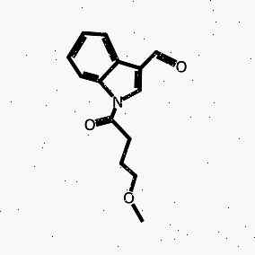 COCCCC(=O)n1cc(C=O)c2ccccc21